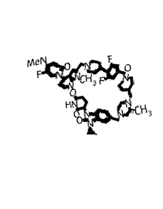 CNc1cc(=O)n(-c2ccnc3c2cc(CN2CC=C(c4c(F)cc(C(=O)N5CCC(CN6CCN(Cc7ccc8c(c7)n(C7CC7)c(=O)n8C7CCC(=O)NC7=O)C[C@@H]6C)CC5)cc4F)CC2)n3C)cc1F